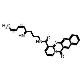 C/C=C\C=C/C(=N)CCCNC(=O)c1cccn2c(=O)c3cc4ccccc4cc3nc12